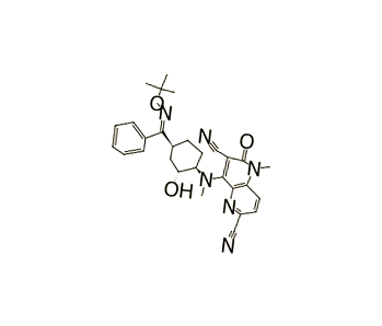 CN(c1c(C#N)c(=O)n(C)c2ccc(C#N)nc12)[C@@H]1CC[C@H](/C(=N/OC(C)(C)C)c2ccccc2)C[C@H]1O